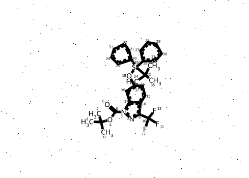 CC(C)(C)OC(=O)n1nc(C(F)(F)F)c2ccc(O[Si](c3ccccc3)(c3ccccc3)C(C)(C)C)cc21